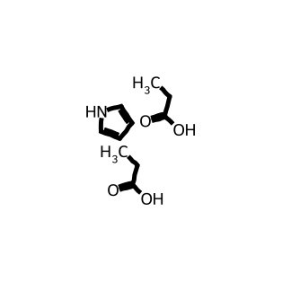 CCC(=O)O.CCC(=O)O.c1cc[nH]c1